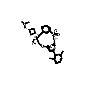 Cc1cccc(C)c1-c1cc2nc(n1)NS(=O)(=O)c1cccc(c1)C([C@H]1C[C@@H](CN(C)C)C1)[C@H](CC(C)C)CO2